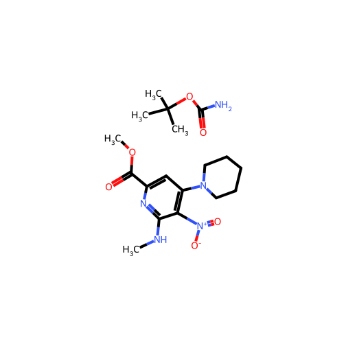 CC(C)(C)OC(N)=O.CNc1nc(C(=O)OC)cc(N2CCCCC2)c1[N+](=O)[O-]